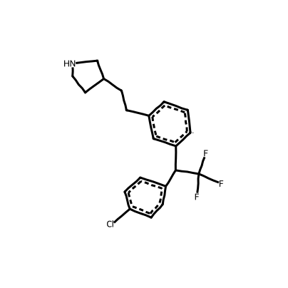 FC(F)(F)C(c1[c]ccc(CCC2CCNC2)c1)c1ccc(Cl)cc1